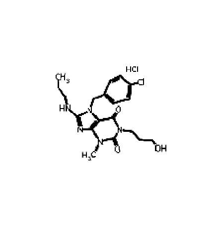 CCCNc1nc2c(c(=O)n(CCCO)c(=O)n2C)n1Cc1ccc(Cl)cc1.Cl